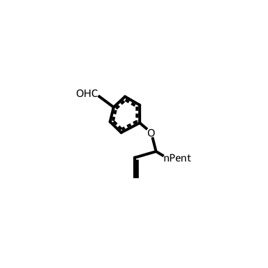 C=CC(CCCCC)Oc1ccc(C=O)cc1